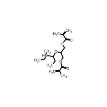 C=C(C)C(=O)OCC(COC(=O)C(=C)C)OC(CC)[SiH](C)CC